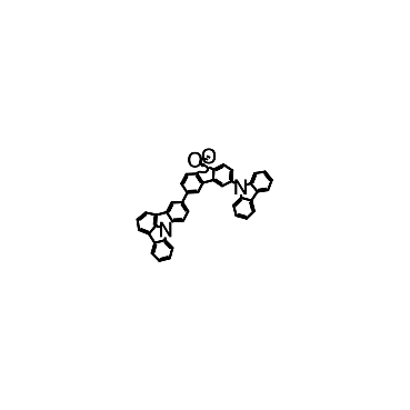 O=S1(=O)c2ccc(-c3ccc4c(c3)c3cccc5c6ccccc6n4c53)cc2-c2cc(-n3c4ccccc4c4ccccc43)ccc21